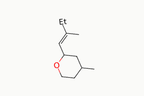 CCC(C)=CC1CC(C)CCO1